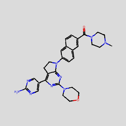 CN1CCN(C(=O)c2ccc3cc(N4CCc5c(-c6cnc(N)nc6)nc(N6CCOCC6)nc54)ccc3c2)CC1